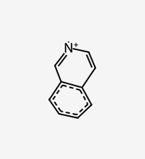 C1=Cc2ccccc2C=[N+]1